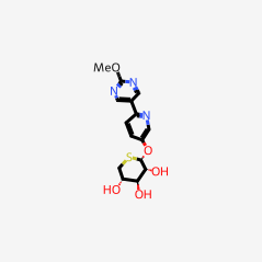 COc1ncc(-c2ccc(O[C@H]3SC[C@@H](O)[C@H](O)[C@H]3O)cn2)cn1